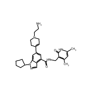 Cc1cc(C)c(CNC(=O)c2cc(C3=CCN(CCN)CC3)cc3c2cnn3C2CCCC2)c(=O)[nH]1